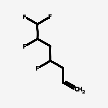 C=CCC(F)CC(F)C(F)F